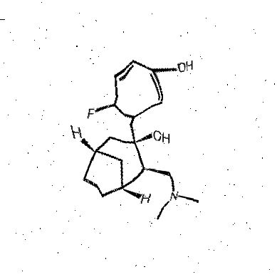 CN(C)C[C@H]1[C@@H]2CC[C@@H](C2)C[C@]1(O)C1C=C(O)C=CC1F